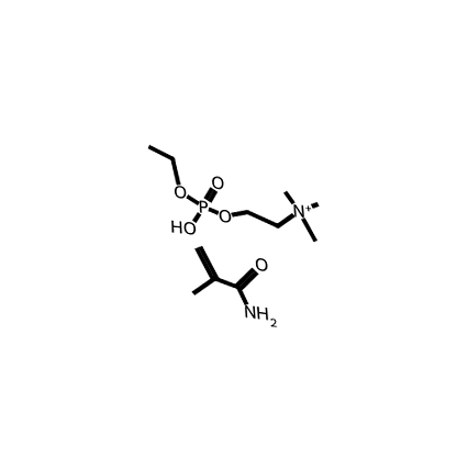 C=C(C)C(N)=O.CCOP(=O)(O)OCC[N+](C)(C)C